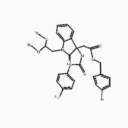 CCOC(CN1C(=O)C(CC(=O)OCc2ccc(Br)cc2)(NC(=O)Nc2ccc(C)cc2)c2ccccc21)OCC